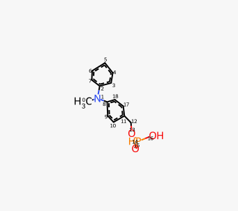 CN(c1ccccc1)c1ccc(CO[PH](=O)O)cc1